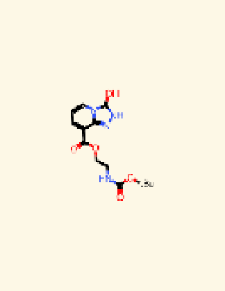 CC(C)(C)OC(=O)NCCOC(=O)C1=CC=CN2C1=NNC2O